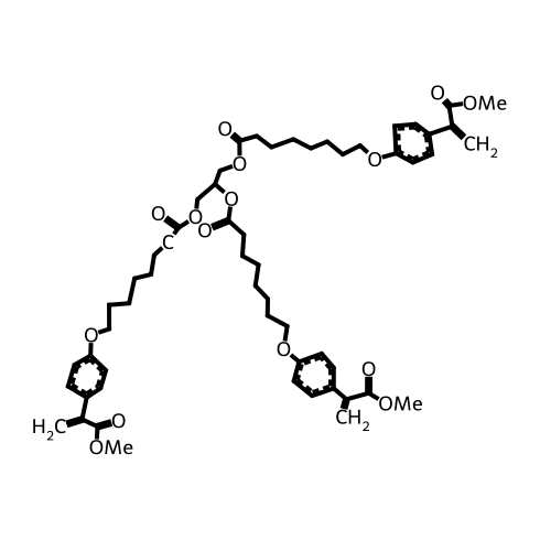 C=C(C(=O)OC)c1ccc(OCCCCCCCC(=O)OCC(COC(=O)CCCCCCCOc2ccc(C(=C)C(=O)OC)cc2)OC(=O)CCCCCCCOc2ccc(C(=C)C(=O)OC)cc2)cc1